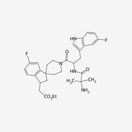 CCOC(=O)CC1CC2(CCN(C(=O)C(Cc3c[nH]c4ccc(F)cc34)NC(=O)C(C)(C)N)CC2)c2cc(F)ccc21